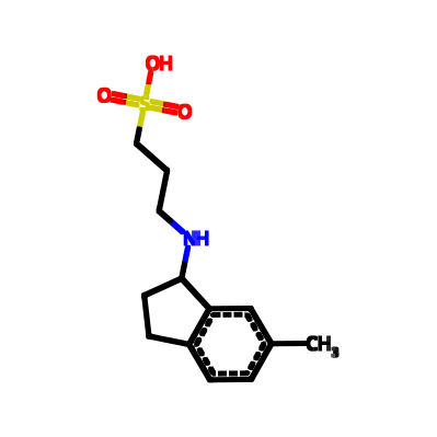 Cc1ccc2c(c1)C(NCCCS(=O)(=O)O)CC2